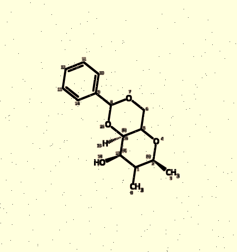 CC1[C@H](C)OC2COC(c3ccccc3)O[C@@H]2[C@@H]1O